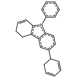 C1=CCC(c2ccc3c(c2)c2c(n3-c3ccccc3)C=CCC2)C=C1